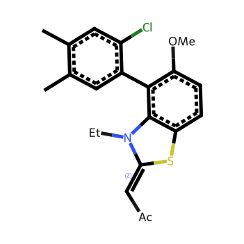 CCN1/C(=C/C(C)=O)Sc2ccc(OC)c(-c3cc(C)c(C)cc3Cl)c21